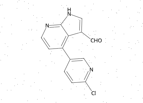 O=Cc1c[nH]c2nccc(-c3ccc(Cl)nc3)c12